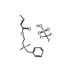 CC=CC(=O)OCC[N+](C)(C)Cc1ccccc1.O=S(=O)(O)C(F)(F)F